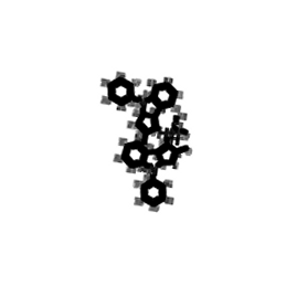 CC1=CC2C(=[C]1[Hf]([C]1=C3c4ccccc4N(c4ccccc4)C3C=C1C)[SiH](C)C)c1ccccc1N2c1ccccc1